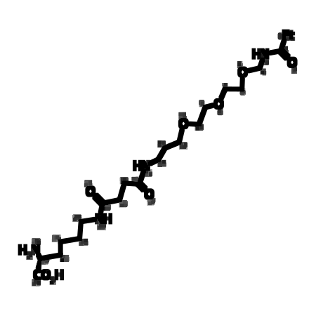 CCC(=O)NCOCCOCCOCCCNC(=O)CCC(=O)NCCCC[C@H](N)C(=O)O